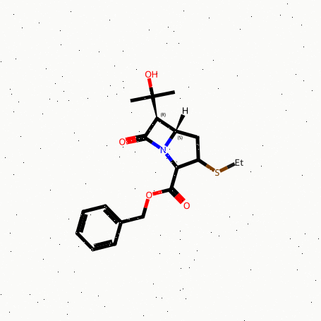 CCSC1C[C@H]2[C@H](C(C)(C)O)C(=O)N2C1C(=O)OCc1ccccc1